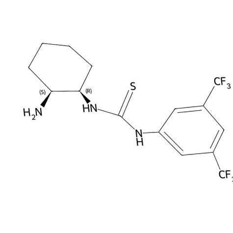 N[C@H]1CCCC[C@H]1NC(=S)Nc1cc(C(F)(F)F)cc(C(F)(F)F)c1